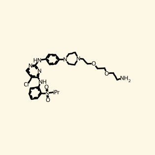 CC(C)S(=O)(=O)c1ccccc1Nc1nc(Nc2ccc(N3CCN(CCOCCOCCN)CC3)cc2)ncc1Cl